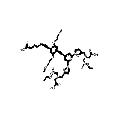 CCO[PH](=O)CN(CC(=O)O)Cc1ccn(-c2cc(C#Cc3cc(OCCOC)c(C#CCCCCC(=O)O)cc3OCCOC)cc(-n3ccc(CN(CC(=O)O)C[PH](=O)OCC)n3)n2)n1